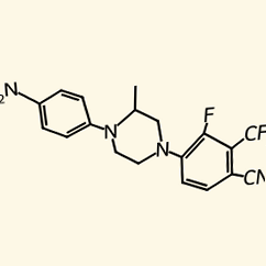 CC1CN(c2ccc(C#N)c(C(F)(F)F)c2F)CCN1c1ccc(N)cc1